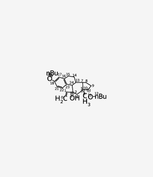 C=C[C@]1(O)C[C@@]2(C)C(CC[C@@H]2OCCCC)C2CCc3cc(OCCCC)ccc3C21